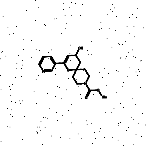 CC(C)(C)OC(=O)N1CCC2(CC1)CC(O)C=C(c1cccnc1)O2